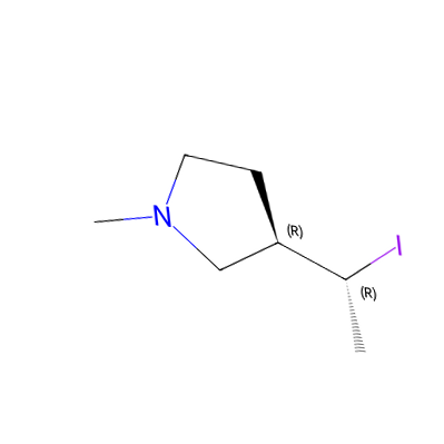 C[C@@H](I)[C@@H]1CCN(C)C1